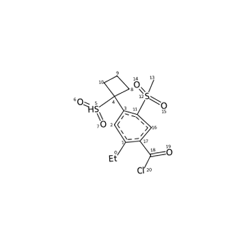 CCc1cc(C2([SH](=O)=O)CCC2)c(S(C)(=O)=O)cc1C(=O)Cl